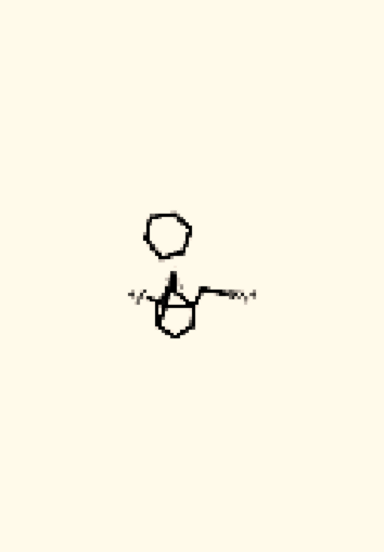 C1CCCCC1.CC1(C)C2CCC1(CS(=O)(=O)O)C(=O)C2